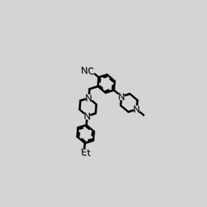 CCc1ccc(N2CCN(Cc3cc(N4CCN(C)CC4)ccc3C#N)CC2)cc1